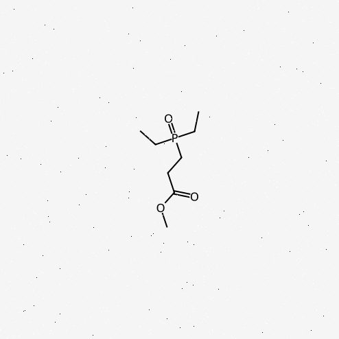 CCP(=O)(CC)CCC(=O)OC